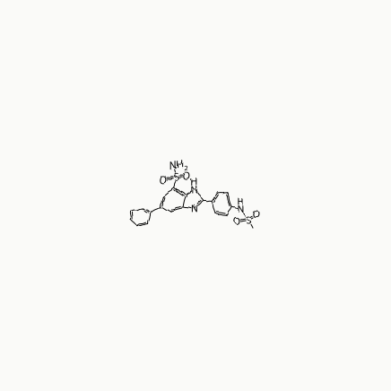 CS(=O)(=O)Nc1ccc(-c2nc3cc(-c4ccccc4)cc(S(N)(=O)=O)c3[nH]2)cc1